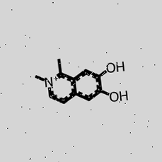 Cc1c2cc(O)c(O)cc2cc[n+]1C